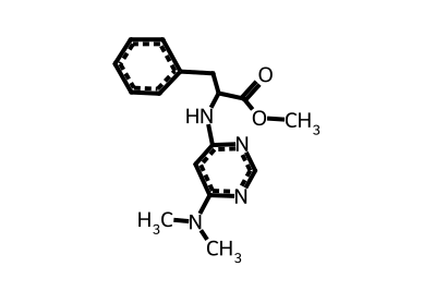 COC(=O)C(Cc1ccccc1)Nc1cc(N(C)C)ncn1